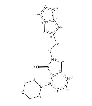 O=C1c2c(N3CCOCC3)ccnc2CN1CCc1cn2ccsc2n1